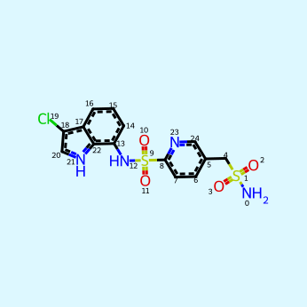 NS(=O)(=O)Cc1ccc(S(=O)(=O)Nc2cccc3c(Cl)c[nH]c23)nc1